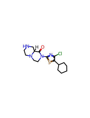 O=C1[C@H]2CNCCN2CCN1c1nc(Cl)c(C2CCCCC2)s1